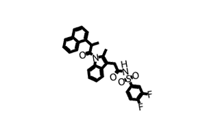 Cc1c(CC(=O)NS(=O)(=O)c2ccc(F)c(F)c2)c2ccccc2n1C(=O)C(C)c1cccc2ccccc12